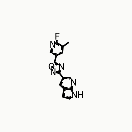 Cc1cc(-c2nc(-c3cnc4[nH]ccc4c3)no2)cnc1F